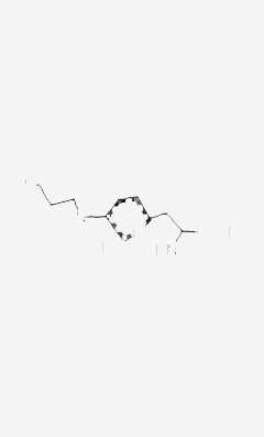 Cl.NC(Cc1ccc(NCCCl)cc1)C(=O)O